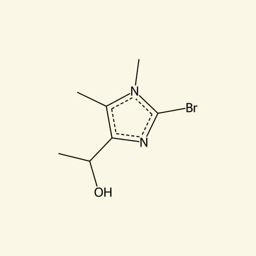 Cc1c(C(C)O)nc(Br)n1C